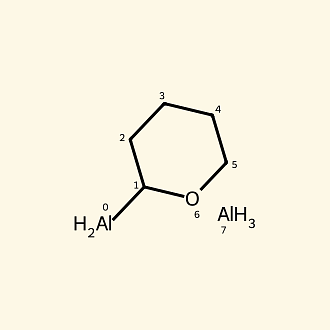 [AlH2][CH]1CCCCO1.[AlH3]